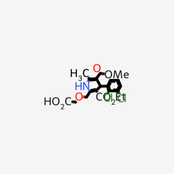 CCOC(=O)C1=C(COCC(=O)O)NC(C)=C(C(=O)OC)C1c1cccc(Cl)c1Cl